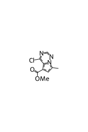 COC(=O)c1cc(C)n2ncnc(Cl)c12